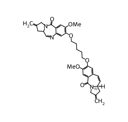 C=C1CC2C=Nc3cc(OCCCCCOc4cc5c(cc4OC)C(=O)N4CC(=C)C[C@H]4C=C5)c(OC)cc3C(=O)N2C1